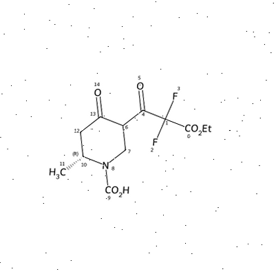 CCOC(=O)C(F)(F)C(=O)C1CN(C(=O)O)[C@H](C)CC1=O